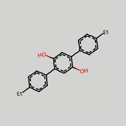 CCc1ccc(-c2cc(O)c(-c3ccc(CC)cc3)cc2O)cc1